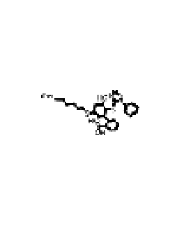 CCCCCCCCCCCCCCCCSc1cc(O)c(Sc2nnnn2-c2ccccc2)c(-c2ccccc2C(O)=S)c1O